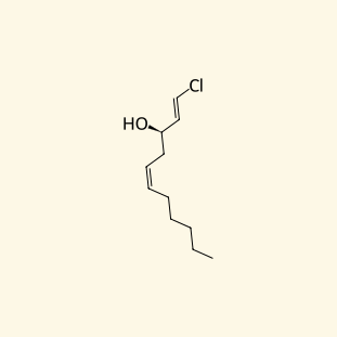 CCCCC/C=C\C[C@@H](O)C=CCl